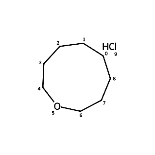 C1CCCCOCCC1.Cl